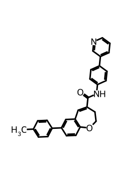 Cc1ccc(-c2ccc3c(c2)C=C(C(=O)Nc2ccc(-c4cccnc4)cc2)CCO3)cc1